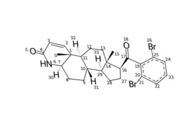 C[C@]12C=CC(=O)N[C@@H]1CC[C@@H]1[C@@H]2CC[C@]2(C)[C@@H](C(=O)c3c(Br)cccc3Br)CC[C@@H]12